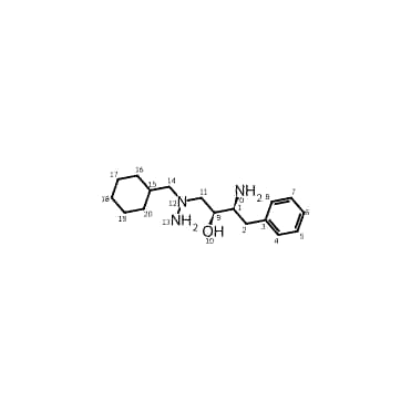 N[C@@H](Cc1ccccc1)[C@@H](O)CN(N)CC1CCCCC1